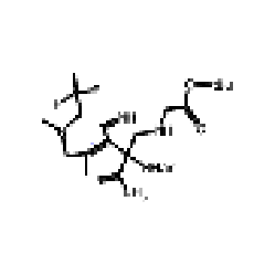 C=C(N)C(CNCC(=O)OC(C)(C)C)(NC(C)=O)/C(C=N)=C(\C)CN(C)CC(C)(F)F